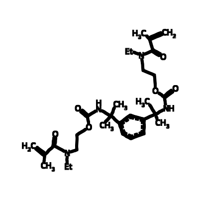 C=C(C)C(=O)N(CC)CCOC(=O)NC(C)(C)c1cccc(C(C)(C)NC(=O)OCCN(CC)C(=O)C(=C)C)c1